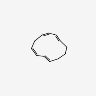 [C]1=C\C=C\CCC/C=C/C=C\C/1